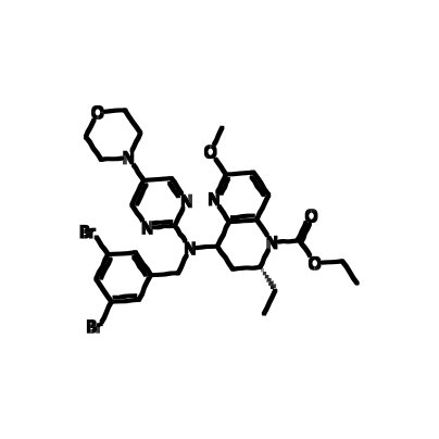 CCOC(=O)N1c2ccc(OC)nc2C(N(Cc2cc(Br)cc(Br)c2)c2ncc(N3CCOCC3)cn2)C[C@H]1CC